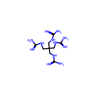 N=C(N)NCC(CNC(=N)N)(CNC(=N)N)CNC(=N)N